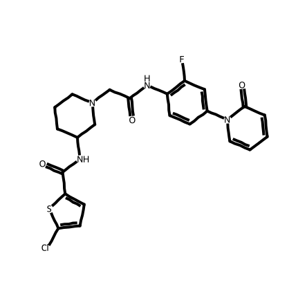 O=C(CN1CCCC(NC(=O)c2ccc(Cl)s2)C1)Nc1ccc(-n2ccccc2=O)cc1F